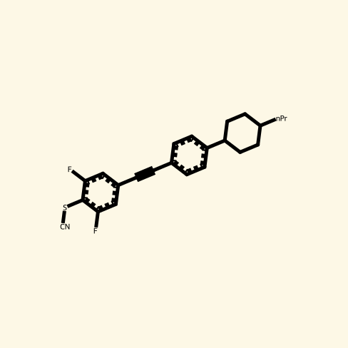 CCCC1CCC(c2ccc(C#Cc3cc(F)c(SC#N)c(F)c3)cc2)CC1